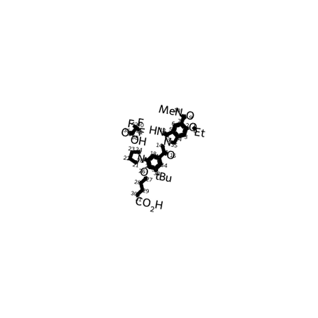 CCOc1cc2c(cc1C(=O)NC)C(=N)N(CC(=O)c1cc(N3CCCC3)c(OCCCCC(=O)O)c(C(C)(C)C)c1)C2.O=C(O)C(F)(F)F